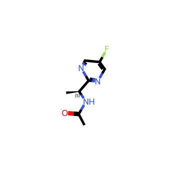 CC(=O)N[C@@H](C)c1ncc(F)cn1